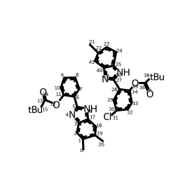 Cc1cc2nc(-c3ccccc3OC(=O)C(C)(C)C)[nH]c2cc1C.Cc1ccc2[nH]c(-c3cc(Cl)ccc3OC(=O)C(C)(C)C)nc2c1